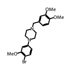 COc1cc(N2CCN(Cc3ccc(OC)c(OC)c3)CC2)ccc1Br